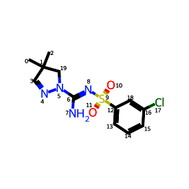 CC1(C)C=NN(/C(N)=N/S(=O)(=O)c2cccc(Cl)c2)C1